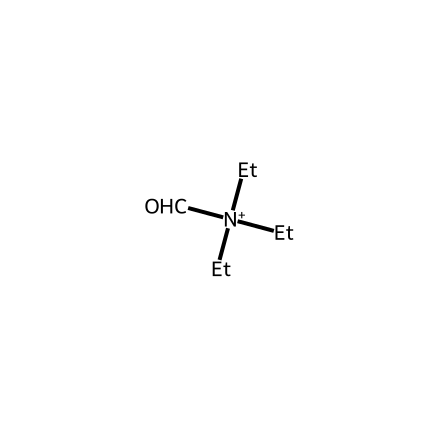 CC[N+](C=O)(CC)CC